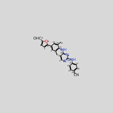 Cc1cc(-c2ccc(C=O)o2)cc(C)c1Nc1ccnc(Nc2ccc(C#N)cc2)n1